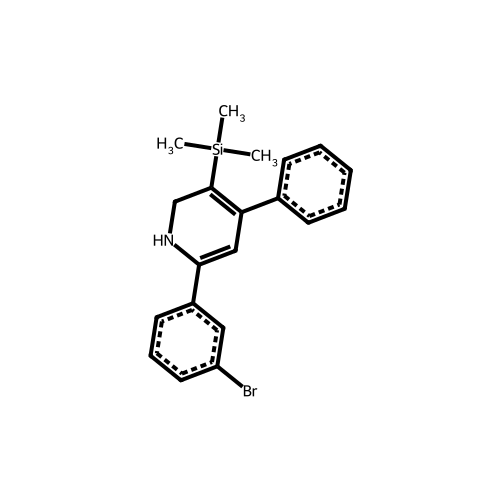 C[Si](C)(C)C1=C(c2ccccc2)C=C(c2cccc(Br)c2)NC1